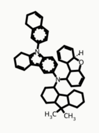 CC1(C)C2CCCCC2C2C(N(c3ccc4c(c3)c3c(n4-c4ccc5c(c4)CCC=C5)CCC=C3)C3CC=CC4O[C@@H]5C=CC=CC5C43)CCCC21